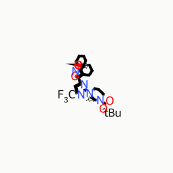 C[C@H]1CN(C(=O)OC(C)(C)C)CCCN1c1nc(-c2onc3c2CCC[C@@]32CCCCC23OCCO3)cc(C(F)(F)F)n1